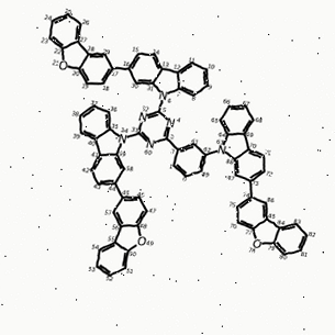 c1cc(-c2nc(-n3c4ccccc4c4ccc(-c5ccc6oc7ccccc7c6c5)cc43)nc(-n3c4ccccc4c4ccc(-c5ccc6oc7ccccc7c6c5)cc43)n2)cc(-n2c3ccccc3c3ccc(-c4ccc5oc6ccccc6c5c4)cc32)c1